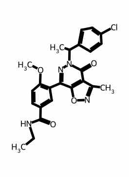 CCNC(=O)c1ccc(OC)c(-c2nn(C(C)c3ccc(Cl)cc3)c(=O)c3c(C)noc23)c1